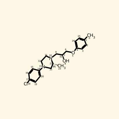 Cc1ccc(OC[C@@H](O)CN2CCN(c3ccc(Cl)cc3)C[C@H]2C)cc1